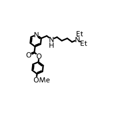 CCN(CC)CCCCNCc1cc(C(=O)Oc2ccc(OC)cc2)ccn1